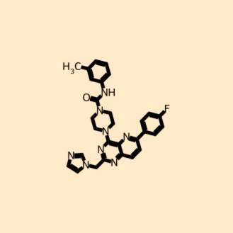 Cc1cccc(NC(=O)N2CCN(c3nc(Cn4ccnc4)nc4ccc(-c5ccc(F)cc5)nc34)CC2)c1